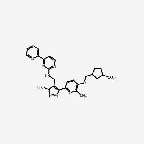 Cc1nc(-c2nnn(C)c2CNc2nccc(-c3ccccn3)n2)ccc1OCC1CCC(C(=O)O)C1